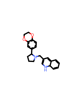 C1=CC2=CC(CN3CCCC3c3ccc4c(c3)OCCO4)=CNC2C=C1